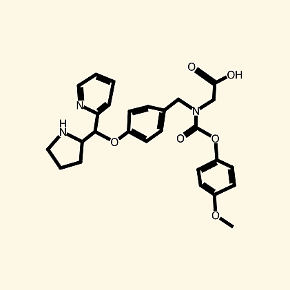 COc1ccc(OC(=O)N(CC(=O)O)Cc2ccc(OC(c3ccccn3)C3CCCN3)cc2)cc1